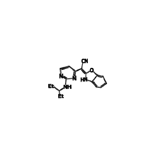 CCC(CC)Nc1nccc(C(C#N)=C2Nc3ccccc3O2)n1